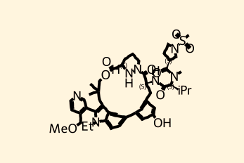 CCn1c(-c2cnccc2COC)c2c3cc(ccc31)-c1cc(O)cc(c1)C[C@H](NC(=O)[C@H](C(C)C)N(C)C(=O)[C@H]1CCN(S(C)(=O)=O)C1)C(=O)N1CCC[C@H](N1)C(=O)OCC(C)(C)C2